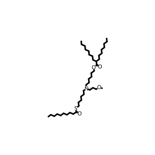 CCCCCCCCCC(=O)SCCCCCCN(CCCCCCOC(=O)C(CCCCCCCC)CCCCCCCC)CCCOC